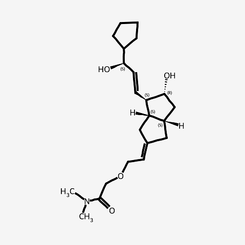 CN(C)C(=O)COCC=C1C[C@H]2C[C@@H](O)[C@H](C=C[C@@H](O)C3CCCC3)[C@H]2C1